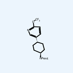 CCCCC[C@H]1CC[C@H](c2ccc(OC(F)(F)F)nc2)CC1